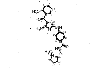 Cc1ccncc1C(=O)c1sc(Nc2ccc(C(=O)NC[C@@H]3CCCN3C)cc2)nc1N